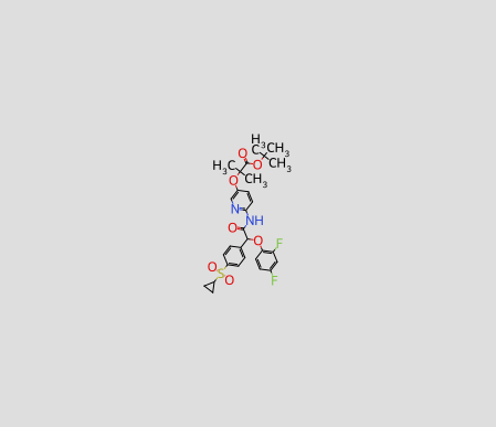 CC(C)(C)OC(=O)C(C)(C)Oc1ccc(NC(=O)C(Oc2ccc(F)cc2F)c2ccc(S(=O)(=O)C3CC3)cc2)nc1